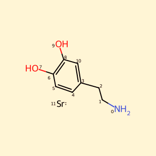 NCCc1ccc(O)c(O)c1.[Sr]